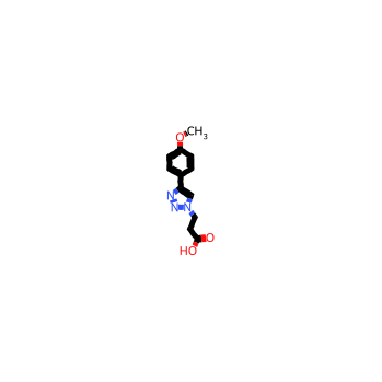 COc1ccc(-c2cn(CCC(=O)O)nn2)cc1